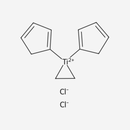 C1=CC[C]([Ti+2]2([C]3=CC=CC3)[CH2][CH2]2)=C1.[Cl-].[Cl-]